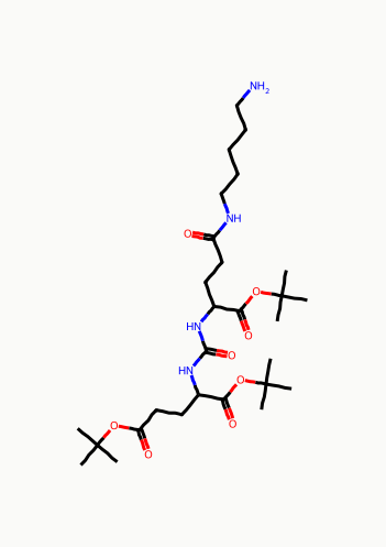 CC(C)(C)OC(=O)CCC(NC(=O)NC(CCC(=O)NCCCCCN)C(=O)OC(C)(C)C)C(=O)OC(C)(C)C